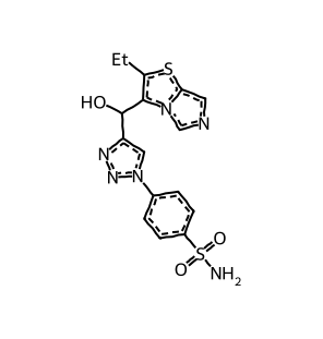 CCc1sc2cncn2c1C(O)c1cn(-c2ccc(S(N)(=O)=O)cc2)nn1